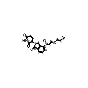 O=C1CCC(N2Cc3c(cccc3[S+]([O-])CCOCCBr)C2=O)C(=O)N1